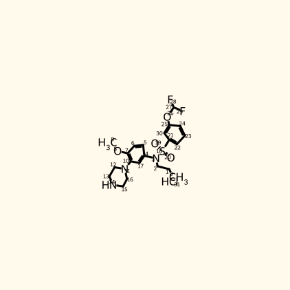 CCCN(c1ccc(OC)c(N2CCNCC2)c1)S(=O)(=O)c1cccc(OC(F)F)c1.Cl